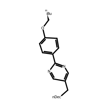 CCCCCCCCCCCc1cnc(-c2ccc(OC[C@H](C)CC)cc2)nc1